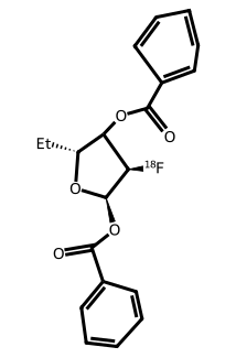 CC[C@H]1O[C@H](OC(=O)c2ccccc2)[C@H]([18F])C1OC(=O)c1ccccc1